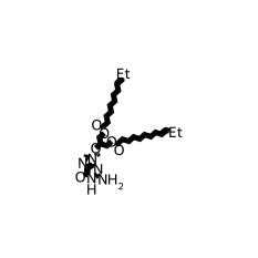 CCC=CCCCCCCCC(=O)OCC(COC(=O)CCCCCCCC=CCC)OCn1cnc2c(=O)[nH]c(N)nc21